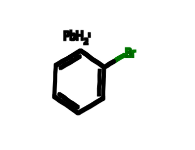 Brc1ccccc1.[PbH2]